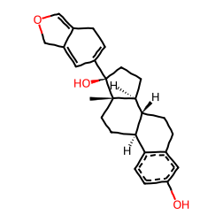 C[C@]12CC[C@@H]3c4ccc(O)cc4CC[C@H]3[C@@H]1CC[C@@]2(O)C1=CCC2=COCC2=C1